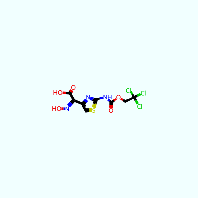 O=C(Nc1nc(C(=NO)C(=O)O)cs1)OCC(Cl)(Cl)Cl